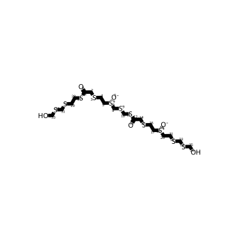 O=C(CSCC[S+]([O-])CSCSC(=O)CSCC[S+]([O-])CCSCSCO)SCCSCSCO